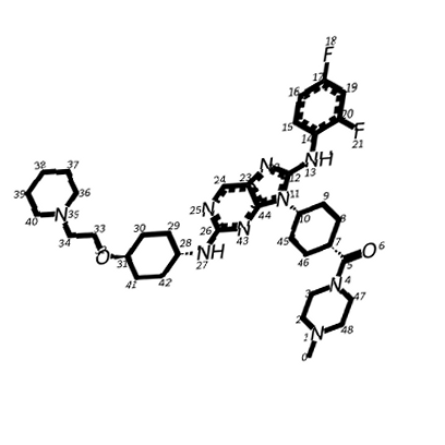 CN1CCN(C(=O)[C@H]2CC[C@@H](n3c(Nc4ccc(F)cc4F)nc4cnc(N[C@H]5CC[C@H](OCCN6CCCCC6)CC5)nc43)CC2)CC1